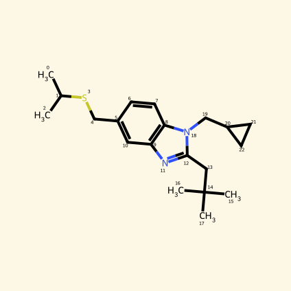 CC(C)SCc1ccc2c(c1)nc(CC(C)(C)C)n2CC1CC1